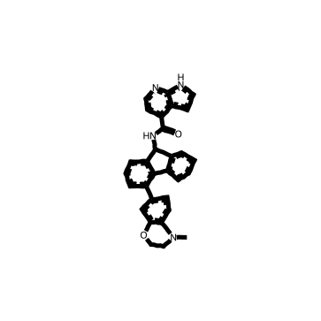 CN1CCOc2cc(-c3cccc4c3-c3ccccc3C4NC(=O)c3ccnc4[nH]ccc34)ccc21